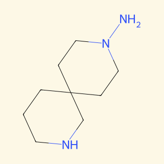 NN1CCC2(CCCNC2)CC1